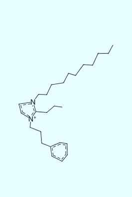 CCCCCCCCCCCn1cc[n+](CCCc2ccccc2)c1CCC